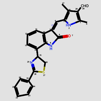 Cc1[nH]c(/C=C2\C(=O)Nc3c2cccc3C2CSC(c3ccccc3)=N2)c(C)c1C=O